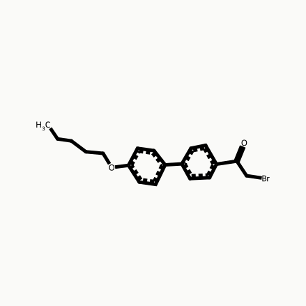 CCCCCOc1ccc(-c2ccc(C(=O)CBr)cc2)cc1